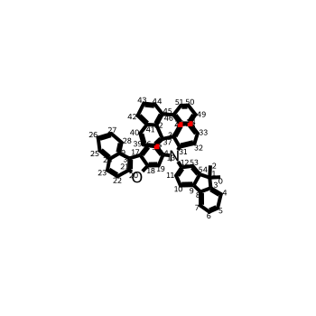 CC1(C)c2ccccc2-c2ccc(N(c3ccc4c(c3)oc3ccc5ccccc5c34)c3ccccc3-c3cccc4cccc(-c5ccccc5)c34)cc21